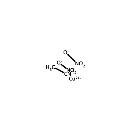 CC#N.O=[N+]([O-])[O-].O=[N+]([O-])[O-].[Cu+2]